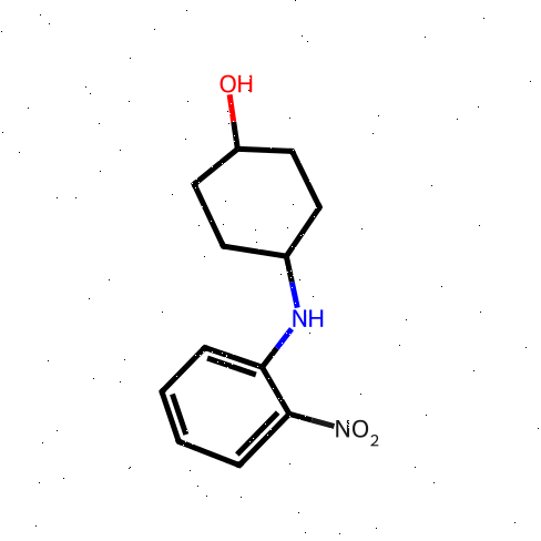 O=[N+]([O-])c1ccccc1NC1CCC(O)CC1